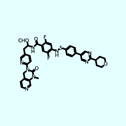 CN1C(=O)N(c2ccc(CC(C=O)NC(=O)c3cc(F)c(NSc4ccc(-c5cnc(C6CCOCC6)nc5)cc4)cc3F)cn2)Cc2ccncc21